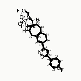 O=S1(=O)N[C@@]2(CN1CC(F)(F)F)[C@@H]1CC[C@H]2CC2=C(C=C(c3cc(-c4ccc(F)cc4)on3)CC2)C1